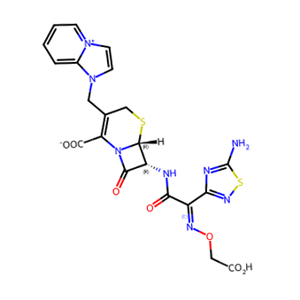 Nc1nc(/C(=N\OCC(=O)O)C(=O)N[C@@H]2C(=O)N3C(C(=O)[O-])=C(Cn4cc[n+]5ccccc45)CS[C@H]23)ns1